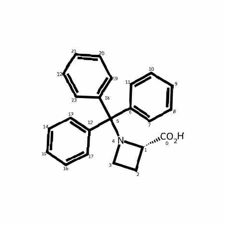 O=C(O)[C@@H]1CCN1C(c1ccccc1)(c1ccccc1)c1ccccc1